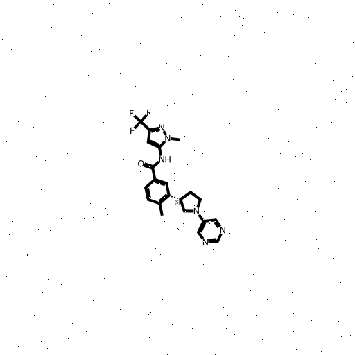 Cc1ccc(C(=O)Nc2cc(C(F)(F)F)nn2C)cc1[C@@H]1CCN(c2cncnc2)C1